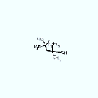 BC(B)(O)CC(B)(C)O